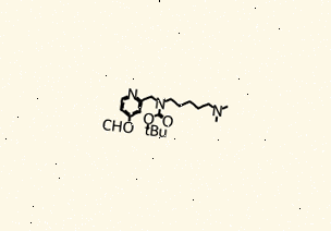 CN(C)CCCCCN(Cc1cc(C=O)ccn1)C(=O)OC(C)(C)C